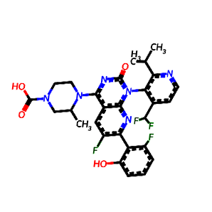 CC(C)c1nccc(C(F)F)c1-n1c(=O)nc(N2CCN(C(=O)O)CC2C)c2cc(F)c(-c3c(O)cccc3F)nc21